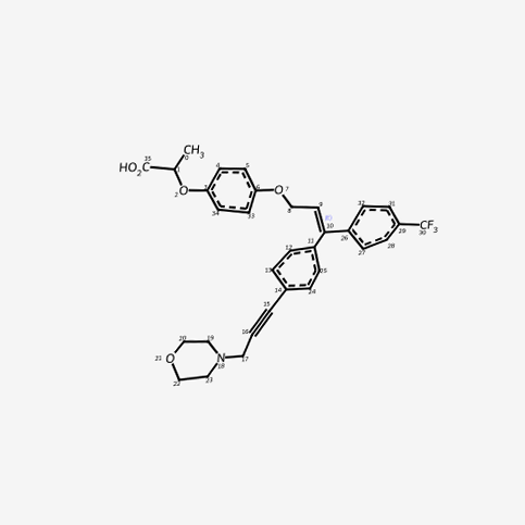 CC(Oc1ccc(OC/C=C(\c2ccc(C#CCN3CCOCC3)cc2)c2ccc(C(F)(F)F)cc2)cc1)C(=O)O